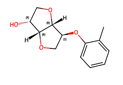 Cc1ccccc1O[C@H]1CO[C@H]2[C@@H]1OC[C@H]2O